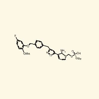 COc1ccc(F)cc1OCc1ccc(Cc2cc(C3=CC=CN(COP(=O)(O)OC)C3N)on2)cc1